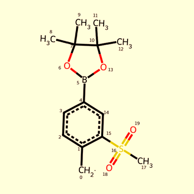 [CH2]c1ccc(B2OC(C)(C)C(C)(C)O2)cc1S(C)(=O)=O